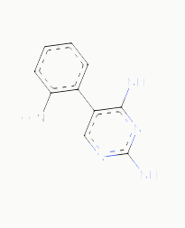 Nc1ncc(-c2ccccc2[N+](=O)[O-])c(N)n1